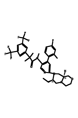 CC[C@@H]1CN2CCOC[C@@H]2CN1c1cc(-c2ccc(F)cc2C)c(N(C)C(=O)C(C)(C)c2cc(C(F)(F)F)cc(C(F)(F)F)c2)cn1